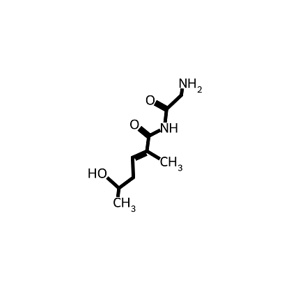 C/C(=C\CC(C)O)C(=O)NC(=O)CN